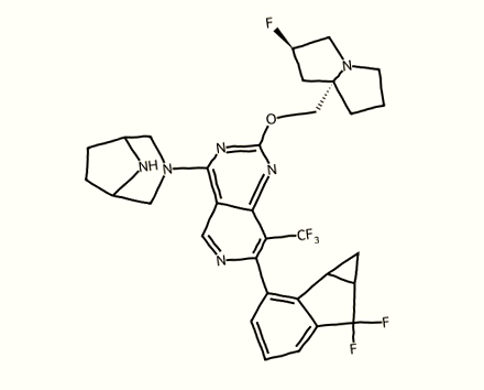 F[C@H]1CN2CCC[C@@]2(COc2nc(N3CC4CCC(C3)N4)c3cnc(-c4cccc5c4C4CC4C5(F)F)c(C(F)(F)F)c3n2)C1